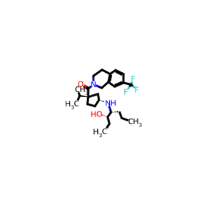 CCC[C@@H](N[C@@H]1CC[C@@](C(=O)N2CCc3ccc(C(F)(F)F)cc3C2)(C(C)C)C1)[C@@H](O)CC